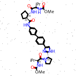 COC(=O)N[C@H](C(=O)N[C@H]1CCC[C@@H]1C(=O)Nc1ccc(-c2ccc(-c3c[nH]c([C@@H]4CCCN4C(=O)[C@@H](NC(=O)OC)C(C)C)n3)cc2)cc1)C(C)C